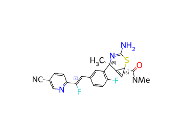 CNC(=O)[C@]12C=C1[C@@](C)(c1cc(/C=C(\F)c3ccc(C#N)cn3)ccc1F)N=C(N)S2